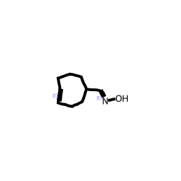 O/N=C/C1CC/C=C/CCC1